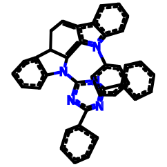 C1=c2c(n(-c3ccccc3)c3ccccc23)=C2C(C1)c1ccccc1N2c1nc(-c2ccccc2)nc(-c2ccccc2)n1